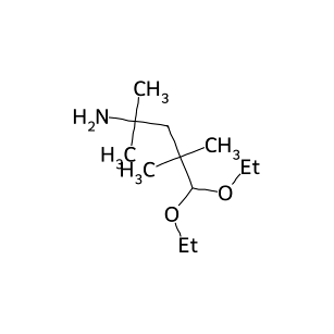 CCOC(OCC)C(C)(C)CC(C)(C)N